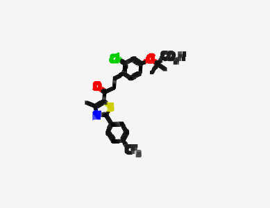 Cc1nc(-c2ccc(C(F)(F)F)cc2)sc1C(=O)CCc1ccc(OC(C)(C)C(=O)O)cc1Cl